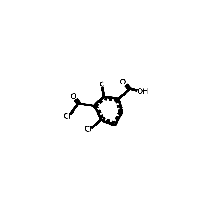 O=C(O)c1ccc(Cl)c(C(=O)Cl)c1Cl